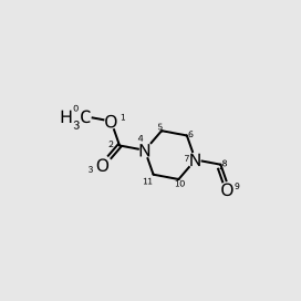 COC(=O)N1CCN([C]=O)CC1